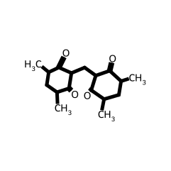 CC1CC(C)C(=O)C(CC2C(=O)C(C)CC(C)C2=O)C1=O